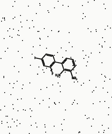 Nc1c(-c2ccc(I)cc2F)cccc1[N+](=O)[O-]